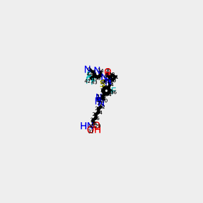 N#Cc1ncc(N2C(=O)C3(CCC3)N(Cc3ccc(-c4cn(CCCCCCC(=O)NO)nn4)cc3F)C2=S)cc1C(F)(F)F